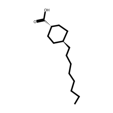 CCCCCCCC[C@H]1CC[C@H](C(=O)O)CC1